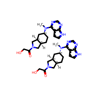 CN(c1ncnc2[nH]ccc12)[C@@H]1CC[C@H]2CN(C(=O)CO)C[C@H]2C1.CN(c1ncnc2[nH]ccc12)[C@H]1CC[C@H]2CN(C(=O)CO)C[C@H]2C1